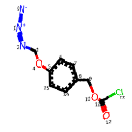 [N-]=[N+]=NCOc1ccc(COC(=O)Cl)cc1